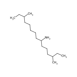 CCC(C)CCCCCC(N)CCCC(C)CC